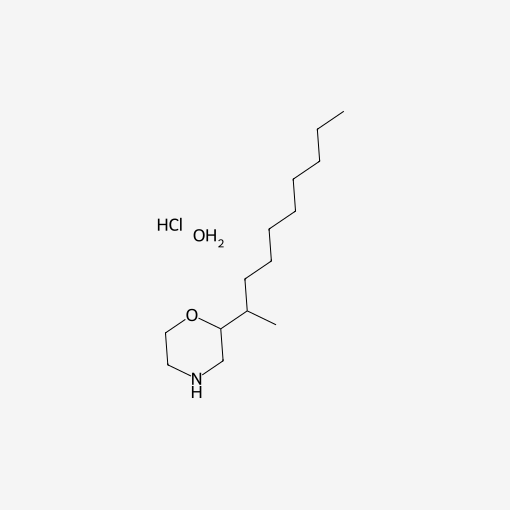 CCCCCCCCC(C)C1CNCCO1.Cl.O